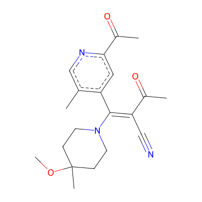 COC1(C)CCN(/C(=C(\C#N)C(C)=O)c2cc(C(C)=O)ncc2C)CC1